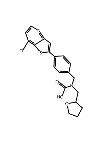 O=C(O)N(Cc1ccc(-c2cc3nccc(Cl)c3s2)cc1)CC1CCCO1